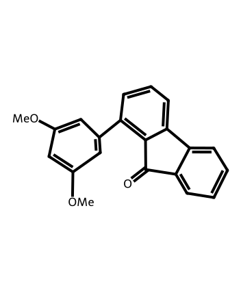 COc1cc(OC)cc(-c2cccc3c2C(=O)c2ccccc2-3)c1